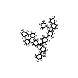 c1ccc(-c2ccccc2-c2ccccc2-c2ccc(N(c3ccc(-c4ccc5c6ccc7ccccc7c6n(-c6ccccc6)c5c4)cc3)c3ccc4oc5ccccc5c4c3)cc2)cc1